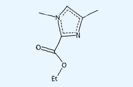 CCOC(=O)c1nc(C)cn1C